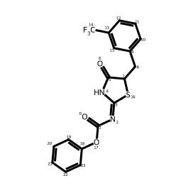 O=C(/N=C1\NC(=O)C(Cc2cccc(C(F)(F)F)c2)S1)Oc1ccccc1